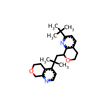 CC(C)(C)c1ccc2c(n1)C(CC(C)(C)c1ccnc3c1CCOC3)OCC2